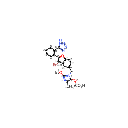 CCOc1nc(C)c(OC(=O)O)n1Cc1ccc2oc(-c3ccccc3-c3nnn[nH]3)c(Br)c2c1